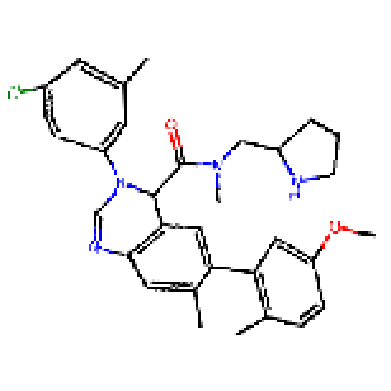 COc1ccc(C)c(-c2cc3c(cc2C)N=CN(c2cc(C)cc(Cl)c2)C3C(=O)N(C)CC2CCCN2)c1